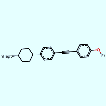 CCCCCCC[C@H]1CC[C@H](c2ccc(C#Cc3ccc(OCC)cc3)cc2)CC1